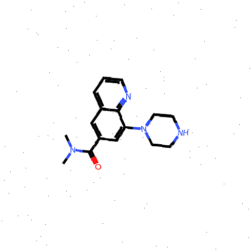 CN(C)C(=O)c1cc(N2CCNCC2)c2ncccc2c1